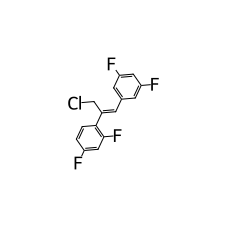 Fc1cc(F)cc(/C=C(\CCl)c2ccc(F)cc2F)c1